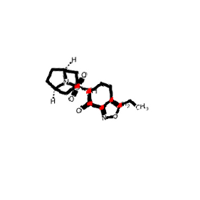 CCc1cc(C(=O)N[C@H]2C[C@H]3CC[C@@H](C2)N3S(=O)(=O)[C@H]2CC[C@H](N)CC2)no1